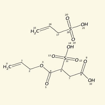 C=CCOC(=O)C(CC(=O)O)S(=O)(=O)O.C=CCS(=O)(=O)O